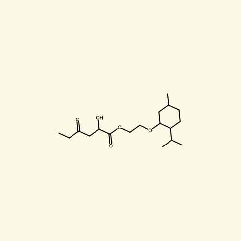 CCC(=O)CC(O)C(=O)OCCOC1CC(C)CCC1C(C)C